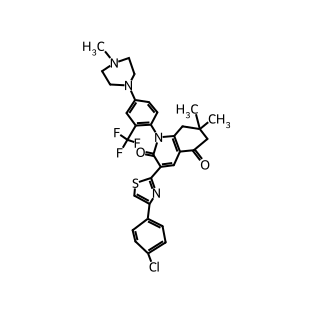 CN1CCN(c2ccc(-n3c4c(cc(-c5nc(-c6ccc(Cl)cc6)cs5)c3=O)C(=O)CC(C)(C)C4)c(C(F)(F)F)c2)CC1